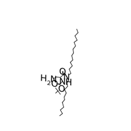 CCCCCCCCCCCCCCN(CCCCCCCCCCCC)C(=O)C(CN)NC(=O)OC(C)(C)C